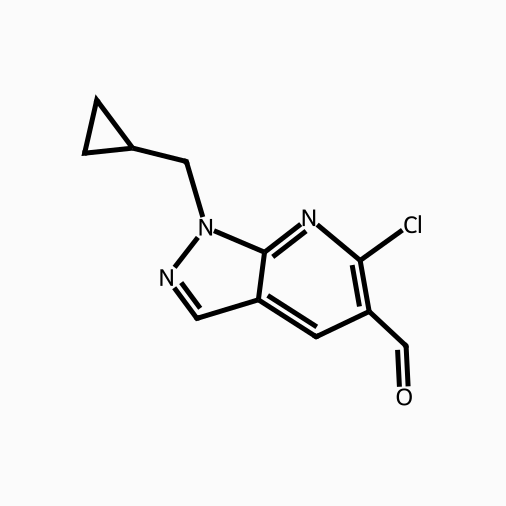 O=Cc1cc2cnn(CC3CC3)c2nc1Cl